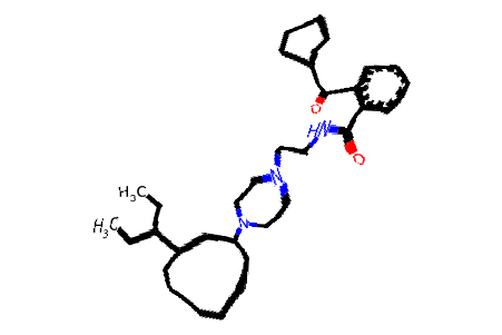 CCC(CC)C1CCCCCCC(N2CCN(CCNC(=O)c3ccccc3C(=O)C3CCCC3)CC2)C1